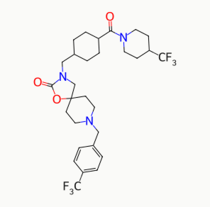 O=C1OC2(CCN(Cc3ccc(C(F)(F)F)cc3)CC2)CN1CC1CCC(C(=O)N2CCC(C(F)(F)F)CC2)CC1